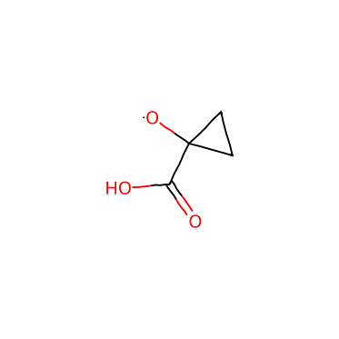 [O]C1(C(=O)O)CC1